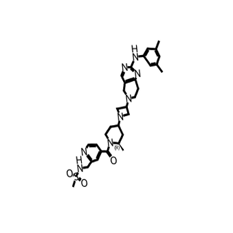 Cc1cc(C)cc(Nc2ncc3c(n2)CCN(C2CN(C4CCN(C(=O)c5ccnc(CNS(C)(=O)=O)c5)[C@H](C)C4)C2)C3)c1